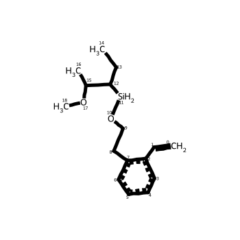 C=Cc1ccccc1CCO[SiH2]C(CC)C(C)OC